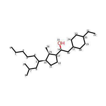 CCCCCC(CC(C)C)[C@@H]1CCC([C@@H](O)CC2CCC(CC)CC2)[C@@H]1C